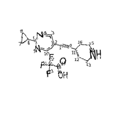 C(#Cc1cnc(C2CC2)nc1)C1=CCNCC1.O=C(O)C(F)(F)F